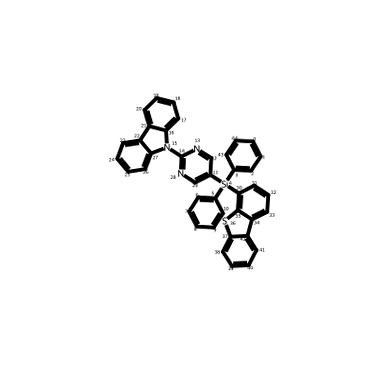 c1ccc([Si](c2ccccc2)(c2cnc(-n3c4ccccc4c4ccccc43)nc2)c2cccc3c2sc2ccccc23)cc1